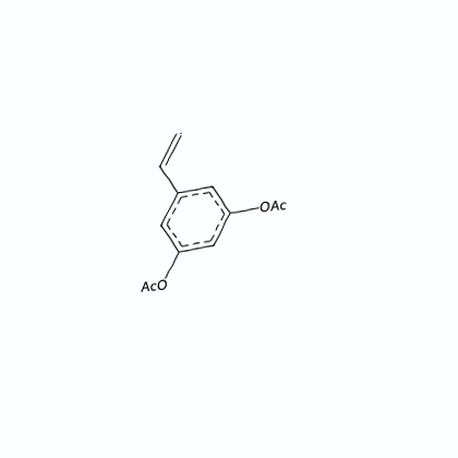 [CH]=Cc1cc(OC(C)=O)cc(OC(C)=O)c1